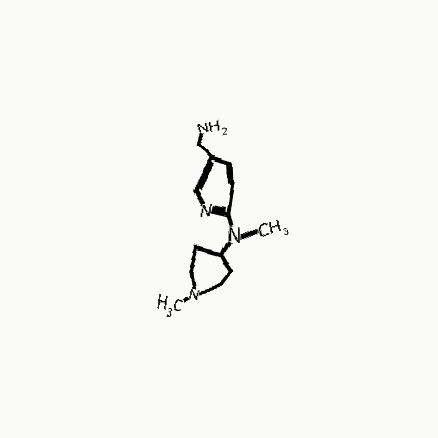 CN1CCC(N(C)c2ccc(CN)cn2)CC1